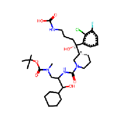 CN(CC(NC(=O)N1CCC[C@@H]([C@@](O)(CCCNC(=O)O)c2cccc(F)c2Cl)C1)C(O)C1CCCCC1)C(=O)OC(C)(C)C